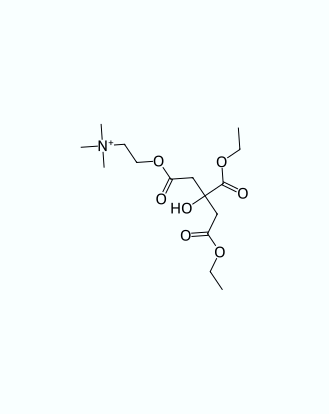 CCOC(=O)CC(O)(CC(=O)OCC[N+](C)(C)C)C(=O)OCC